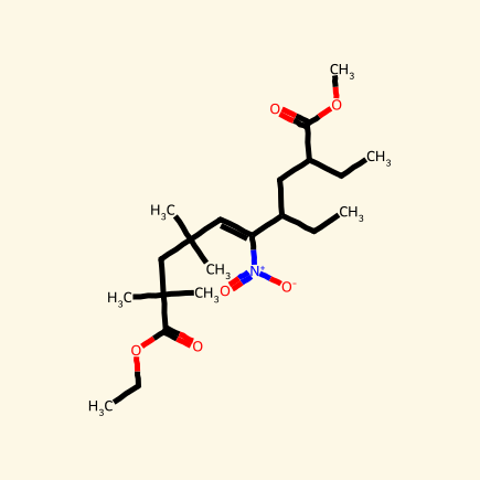 CCOC(=O)C(C)(C)CC(C)(C)/C=C(/C(CC)CC(CC)C(=O)OC)[N+](=O)[O-]